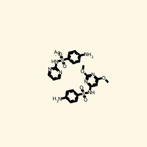 COc1cc(NS(=O)(=O)c2ccc(N)cc2)nc(OC)n1.Nc1ccc(S(=O)(=O)Nc2ncccn2)cc1.[Ag]